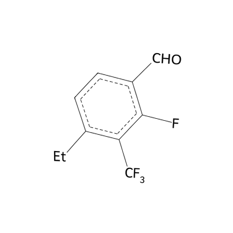 CCc1ccc(C=O)c(F)c1C(F)(F)F